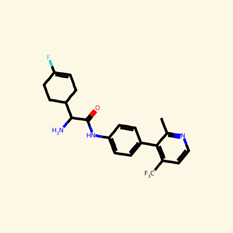 Cc1nccc(C(F)(F)F)c1-c1ccc(NC(=O)C(N)C2CC=C(F)CC2)cc1